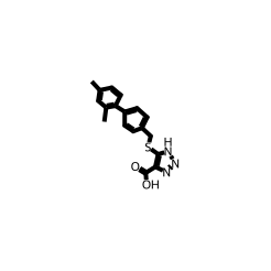 Cc1ccc(-c2ccc(CSc3[nH]nnc3C(=O)O)cc2)c(C)c1